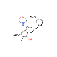 C1COCCN1.COc1cccc(C/C=C/c2c(OC)cc(OC)c(C)c2O)c1